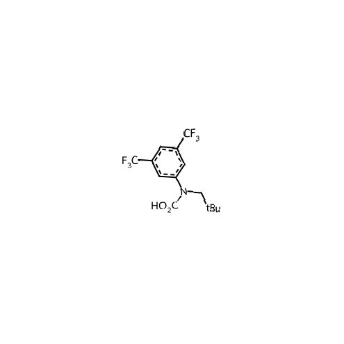 CC(C)(C)CN(C(=O)O)c1cc(C(F)(F)F)cc(C(F)(F)F)c1